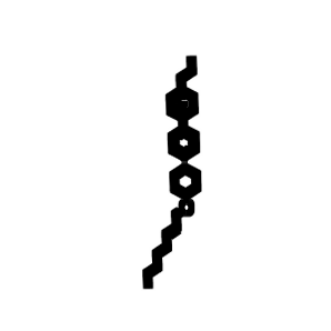 CCCCCC=CCO[C@H]1CC[C@H](c2ccc(C34CCC(CCC)(CC3)CC4)cc2)CC1